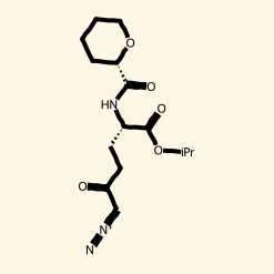 CC(C)OC(=O)[C@H](CCC(=O)C=[N+]=[N-])NC(=O)[C@@H]1CCCCO1